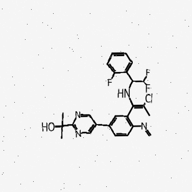 C=Nc1ccc(-c2cnc(C(C)(C)O)nc2)cc1/C(NC(c1ccccc1F)C(F)F)=C(\C)Cl